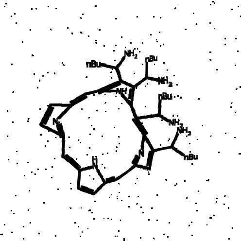 CCCCC(N)C1=Cc2cc3ccc(cc4nc(cc5[nH]c(c(C(N)CCCC)c1n2)c(C(N)CCCC)c5C(N)CCCC)C=C4)[nH]3